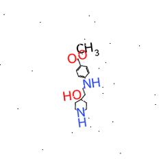 COC(=O)c1ccc(NCCC2(O)CCNCC2)cc1